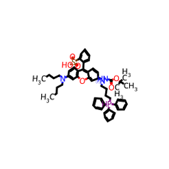 CCCCN(CCCC)c1ccc2c(-c3ccccc3S(=O)(=O)O)c3cc/c(=[N+](/CCCC[PH](c4ccccc4)(c4ccccc4)c4ccccc4)NC(=O)OC(C)(C)C)cc-3oc2c1